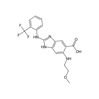 COCCNc1cc2[nH]c(Nc3ccccc3C(F)(F)F)nc2cc1C(=O)O